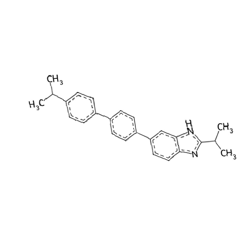 CC(C)c1ccc(-c2ccc(-c3ccc4nc(C(C)C)[nH]c4c3)cc2)cc1